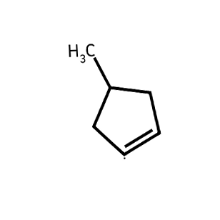 CC1C[C]=CC1